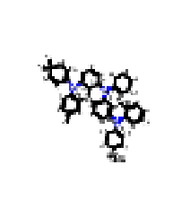 Cc1ccc2c(c1)B1c3ccc(N(c4ccc(C(C)(C)C)cc4)c4ccccc4C)cc3N(C3=CC=CCC3)C3(C)C=CC=C(C13)N2C1=CCC(C)(C)C=C1